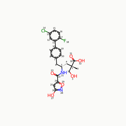 C[C@@](CO)(C[C@@H](Cc1ccc(-c2cc(Cl)ccc2F)cc1)NC(=O)c1cc(O)no1)C(=O)O